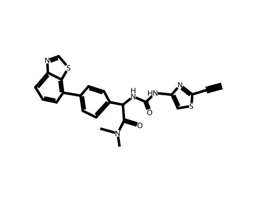 C#Cc1nc(NC(=O)NC(C(=O)N(C)C)c2ccc(-c3cccc4ncsc34)cc2)cs1